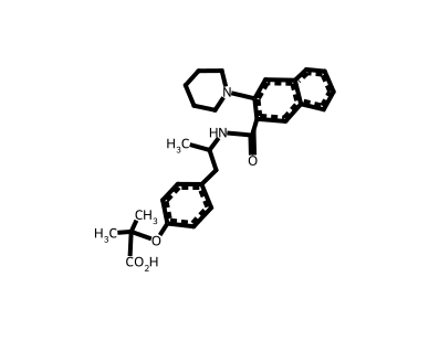 CC(Cc1ccc(OC(C)(C)C(=O)O)cc1)NC(=O)c1cc2ccccc2cc1N1CCCCC1